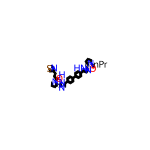 CCCC(=O)N1CCC[C@H]1c1ncc(-c2ccc(-c3ccc(-c4cnc([C@@H]5CCCN5C(=O)CCc5cscn5)[nH]4)cc3)cc2)[nH]1